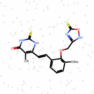 COc1cccc(/C=C/c2[nH]c(=S)[nH]c(=O)c2C#N)c1OCc1nc(=S)o[nH]1